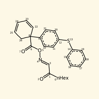 CCCCCCC(=O)C=NOC(=O)C1(c2ccc(Sc3ccccc3)cc2)C=CC=CC1